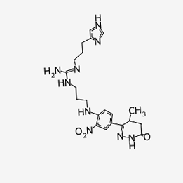 CC1CC(=O)NN=C1c1ccc(NCCCNC(N)=NCCCc2c[nH]cn2)c([N+](=O)[O-])c1